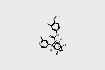 Cc1cc([C@H]2[C@H]3O[C@H]([C@@H]4C[C@@H]43)[C@@H]2C(=O)Nc2ccc(OC(F)(F)F)c(F)c2)ccn1